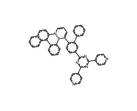 C1=CN2B(C(c3ccc(-c4nc(-c5ccncc5)nc(-c5ccncc5)n4)cc3-c3ccccc3)=C1)c1ccccc1-c1c2ccc2ccccc12